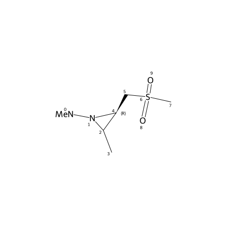 CNN1C(C)[C@@H]1CS(C)(=O)=O